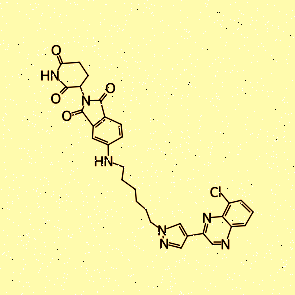 O=C1CCC(N2C(=O)c3ccc(NCCCCCCn4cc(-c5cnc6cccc(Cl)c6n5)cn4)cc3C2=O)C(=O)N1